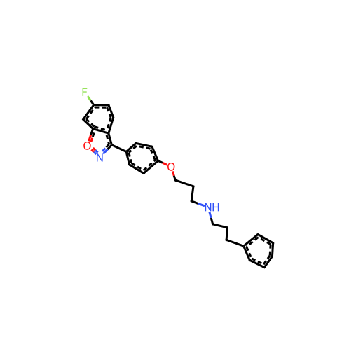 Fc1ccc2c(-c3ccc(OCCCNCCCc4ccccc4)cc3)noc2c1